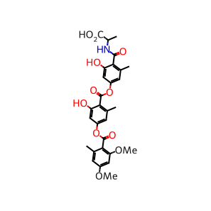 COc1cc(C)c(C(=O)Oc2cc(C)c(C(=O)Oc3cc(C)c(C(=O)NC(C)C(=O)O)c(O)c3)c(O)c2)c(OC)c1